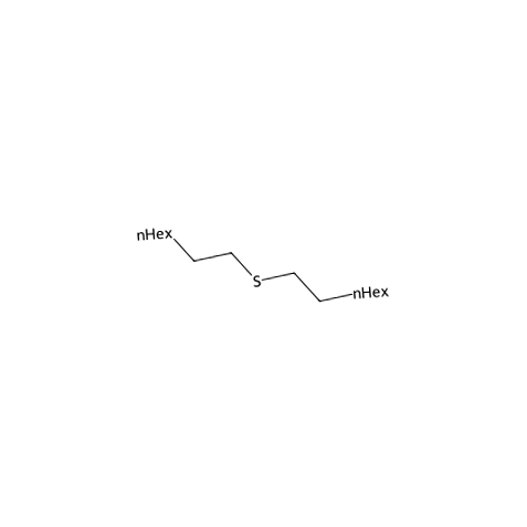 [CH2]CCCCCCCSCCCCCCCC